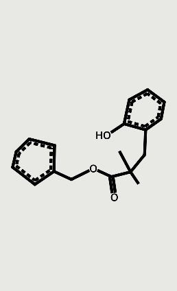 CC(C)(Cc1ccccc1O)C(=O)OCc1ccccc1